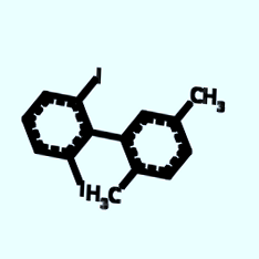 Cc1ccc(C)c(-c2c(I)cccc2I)c1